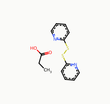 CCC(=O)O.c1ccc(SSc2ccccn2)nc1